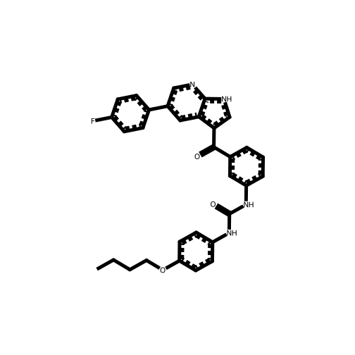 CCCCOc1ccc(NC(=O)Nc2cccc(C(=O)c3c[nH]c4ncc(-c5ccc(F)cc5)cc34)c2)cc1